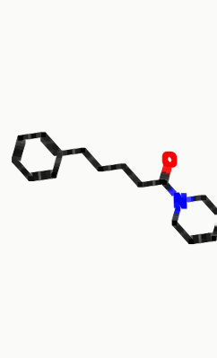 O=C(CCCCc1ccccc1)N1CC=CCC1